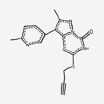 C#CCSc1nc2c(-c3ccc(C)nc3)c(C)nn2c(=O)[nH]1